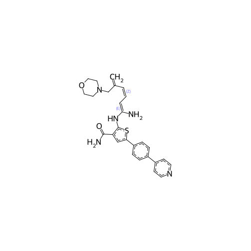 C=C(/C=C\C=C(/N)Nc1sc(-c2ccc(-c3ccncc3)cc2)cc1C(N)=O)CN1CCOCC1